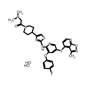 Cc1noc2nccc(Sc3cnc(Nc4nc(C5CCN(C(=O)CN(C)C)CC5)cs4)c(Oc4ccc(F)cc4)c3)c12.Cl.Cl